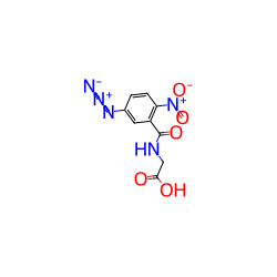 [N-]=[N+]=Nc1ccc([N+](=O)[O-])c(C(=O)NCC(=O)O)c1